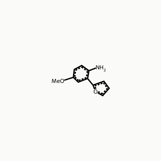 COc1ccc(N)c(-c2ccco2)c1